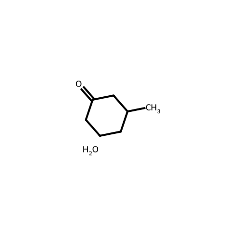 CC1CCCC(=O)C1.O